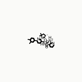 Cc1ccc(-c2ccc(C(=O)NS(=O)(=O)c3cccnc3N)c(N3C[C@@H](C)CC3(C)C)n2)cc1C